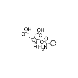 NC(C(=O)OCc1[nH]cc(CCC(=O)O)c1CC(=O)O)c1ccccc1